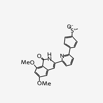 COc1cc(OC)c2c(=O)[nH]c(-c3cccc(-c4ccc([S+](C)[O-])cc4)n3)cc2c1